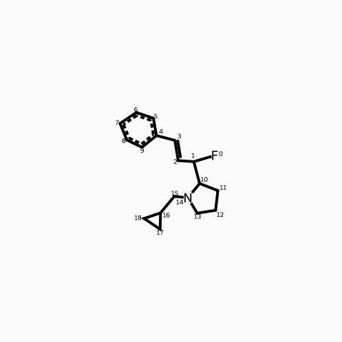 FC(C=Cc1ccccc1)C1CCCN1CC1CC1